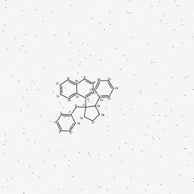 c1ccc(CC2(c3cccc4ccccc34)CCC[C]2c2ccccc2)cc1